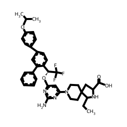 CCC1NC(C(=O)O)CC12CCN(c1cc(O[C@H](c3ccc(-c4ccc(OC(C)C)cc4)cc3-c3ccccc3)C(F)(F)F)nc(N)n1)CC2